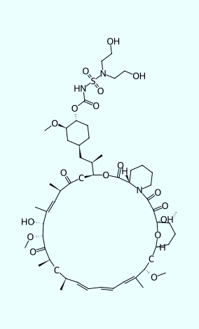 CO[C@H]1C[C@@H]2CC[C@@H](C)[C@@](O)(O2)C(=O)C(=O)N2CCCC[C@H]2C(=O)O[C@H]([C@H](C)C[C@@H]2CC[C@@H](OC(=O)NS(=O)(=O)N(CCO)CCO)[C@H](OC)C2)CC(=O)[C@H](C)/C=C(\C)[C@@H](O)[C@@H](OC)C(=O)[C@H](C)C[C@H](C)/C=C/C=C/C=C/1C